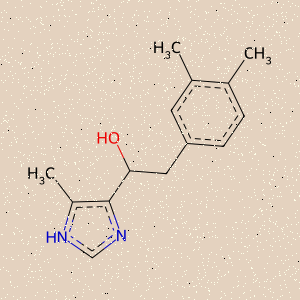 Cc1ccc(CC(O)c2nc[nH]c2C)cc1C